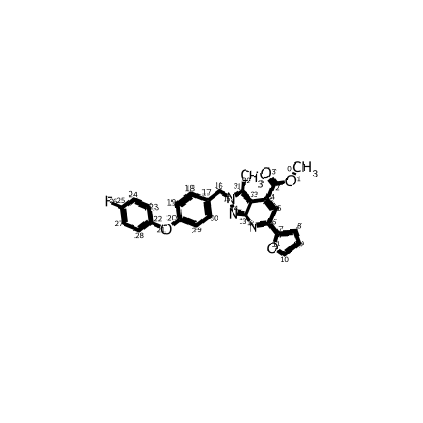 COC(=O)c1cc(-c2ccco2)nc2nn(Cc3ccc(Oc4ccc(F)cc4)cc3)c(C)c12